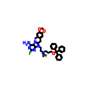 CC(C)N(CCCOC(c1ccccc1)(c1ccccc1)c1ccccc1)CCn1c(Cc2cc3c(cc2I)OCO3)nc2c(N)nc(F)nc21